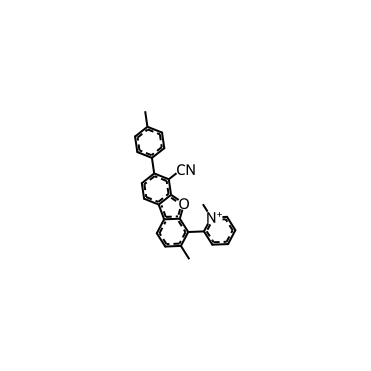 Cc1ccc(-c2ccc3c(oc4c(-c5cccc[n+]5C)c(C)ccc43)c2C#N)cc1